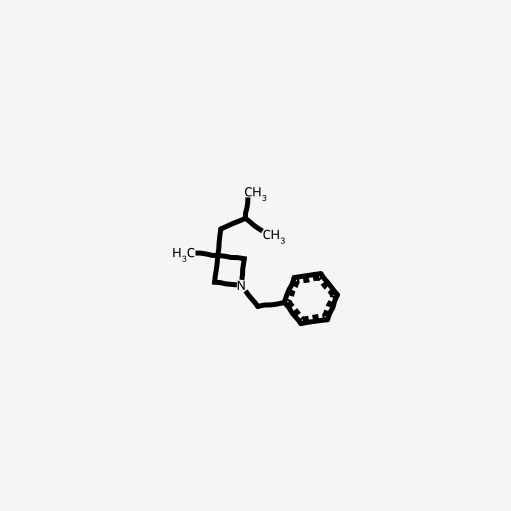 CC(C)CC1(C)CN(Cc2ccccc2)C1